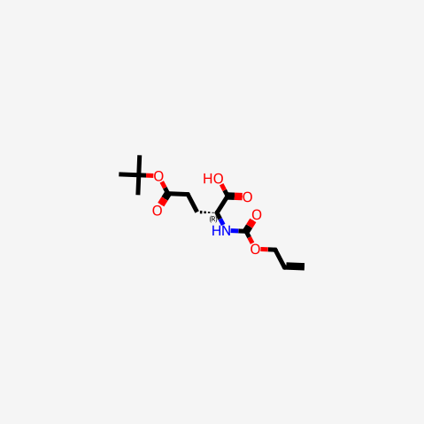 C=CCOC(=O)N[C@H](CCC(=O)OC(C)(C)C)C(=O)O